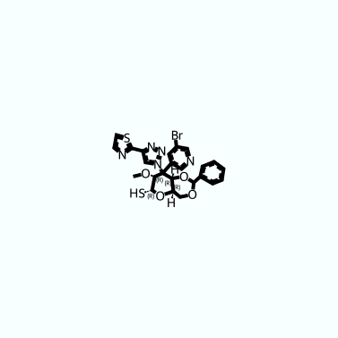 CO[C@H]1[C@@H](S)O[C@@H]2COC(c3ccccc3)O[C@@H]2C1(c1cncc(Br)c1)n1cc(-c2nccs2)nn1